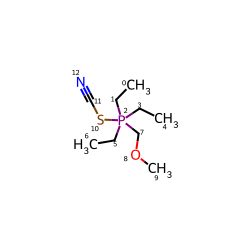 CCP(CC)(CC)(COC)SC#N